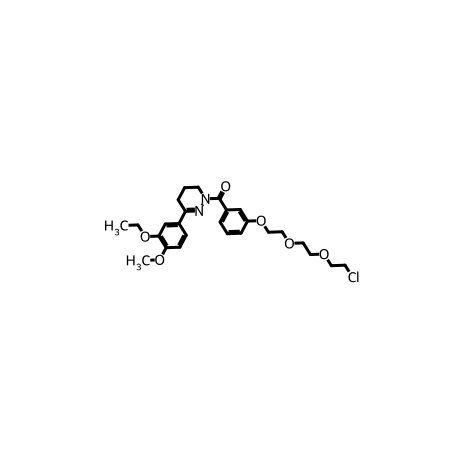 CCOc1cc(C2=NN(C(=O)c3cccc(OCCOCCOCCCl)c3)CCC2)ccc1OC